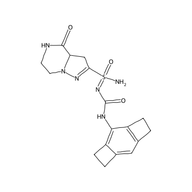 NS(=O)(=NC(=O)Nc1c2c(cc3c1CC3)CC2)C1=NN2CCNC(=O)C2C1